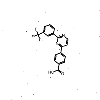 O=C(O)c1ccc(-c2ccnc(-c3cccc(C(F)(F)F)c3)n2)cc1